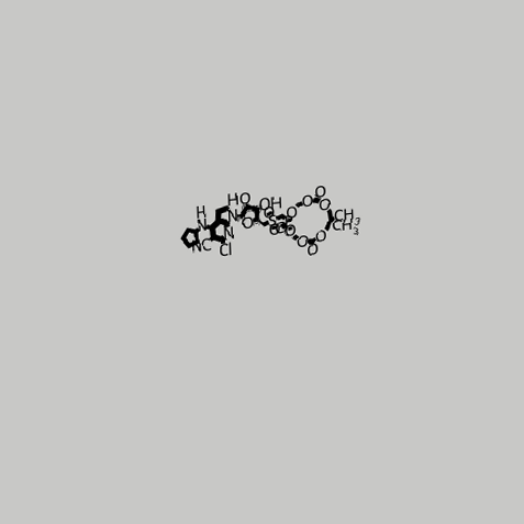 CC1(C)COC(=O)OCOP(=O)(CS(=O)(=O)C[C@H]2O[C@@H](n3ccc4c(NC5CCCC5)c(C#N)c(Cl)nc43)[C@H](O)[C@@H]2O)OCOC(=O)OC1